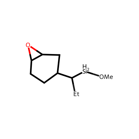 CCC([SiH2]OC)C1CCC2OC2C1